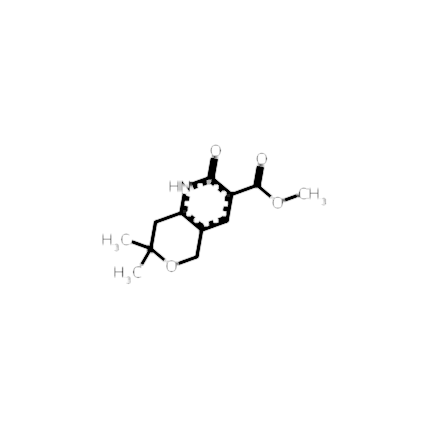 COC(=O)c1cc2c([nH]c1=O)CC(C)(C)OC2